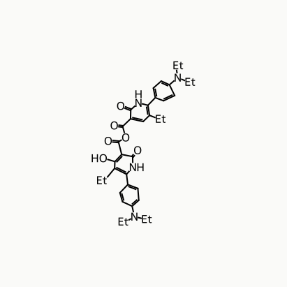 CCc1cc(C(=O)OC(=O)c2c(O)c(CC)c(-c3ccc(N(CC)CC)cc3)[nH]c2=O)c(=O)[nH]c1-c1ccc(N(CC)CC)cc1